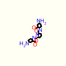 Nc1ccc2nc(-c3cccc(-c4nc5ccc(N)cc5c(=O)o4)n3)oc(=O)c2c1